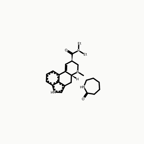 CCN(CC)C(=O)[C@@H]1C=C2c3cccc4[nH]cc(c34)C[C@H]2N(C)C1.O=C1CCCCCN1